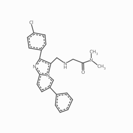 CN(C)C(=O)CNCc1c(-c2ccc(Cl)cc2)nc2ccc(-c3ccccc3)cn12